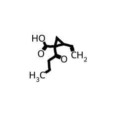 C=CC1CC1(C(=O)O)C(=O)CCC